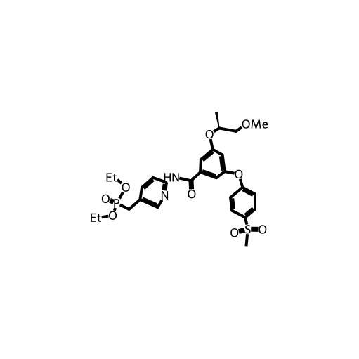 CCOP(=O)(Cc1ccc(NC(=O)c2cc(Oc3ccc(S(C)(=O)=O)cc3)cc(O[C@@H](C)COC)c2)nc1)OCC